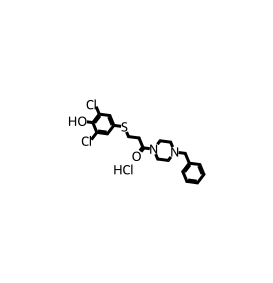 Cl.O=C(CCSc1cc(Cl)c(O)c(Cl)c1)N1CCN(Cc2ccccc2)CC1